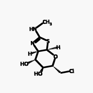 CNC1=N[C@@H]2[C@@H](O)[C@H](O)[C@@H](CCl)O[C@@H]2S1